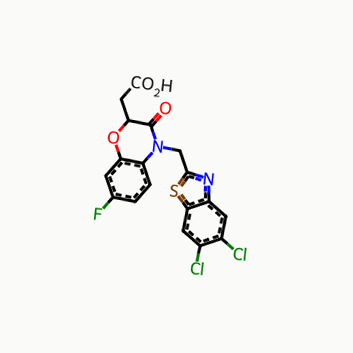 O=C(O)CC1Oc2cc(F)ccc2N(Cc2nc3cc(Cl)c(Cl)cc3s2)C1=O